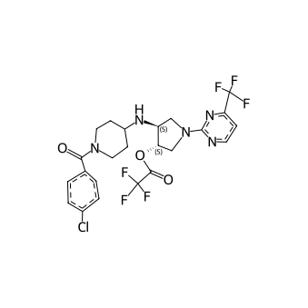 O=C(c1ccc(Cl)cc1)N1CCC(N[C@H]2CN(c3nccc(C(F)(F)F)n3)C[C@@H]2OC(=O)C(F)(F)F)CC1